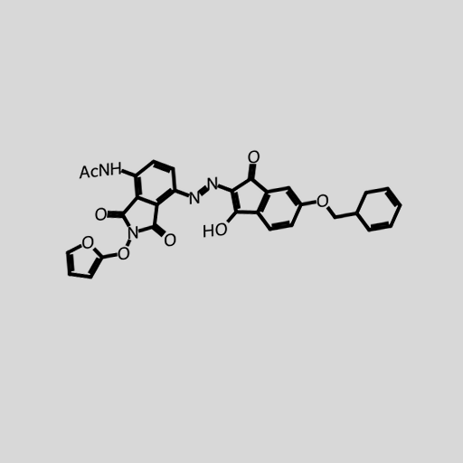 CC(=O)Nc1ccc(N=NC2=C(O)c3ccc(OCC4C=CC=CC4)cc3C2=O)c2c1C(=O)N(Oc1ccco1)C2=O